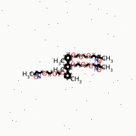 Cc1ccc(OCCOCCCOCc2cc(C)on2)c(-c2cc(OCCCOCCOCc3cc(C)on3)c(-c3cc(OCCOCCOCCc4cc(C)on4)ccc3C)cc2C)c1